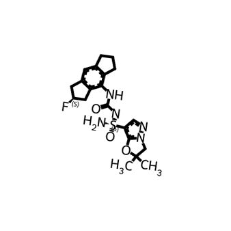 CC1(C)Cn2ncc([S@@](N)(=O)=NC(=O)Nc3c4c(cc5c3C[C@@H](F)C5)CCC4)c2O1